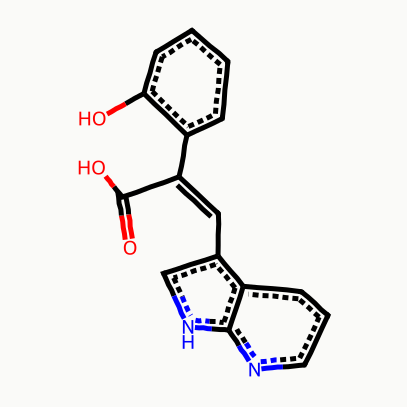 O=C(O)C(=Cc1c[nH]c2ncccc12)c1ccccc1O